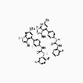 CC(C)(C)c1cc(-c2ccc(NC(=O)Nc3cc(F)ccc3F)cc2)c2c(N)n[nH]c2n1.CC(C)(C)c1cc(-c2ccc(NC(=O)Nc3ccccc3F)cc2)c2c(N)n[nH]c2n1